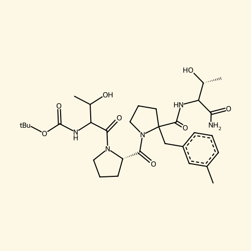 Cc1cccc(CC2(C(=O)NC(C(N)=O)[C@@H](C)O)CCCN2C(=O)[C@@H]2CCCN2C(=O)C(NC(=O)OC(C)(C)C)C(C)O)c1